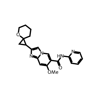 COc1cc2nc(C3CC34CCCCO4)cn2cc1C(=O)Nc1ccccn1